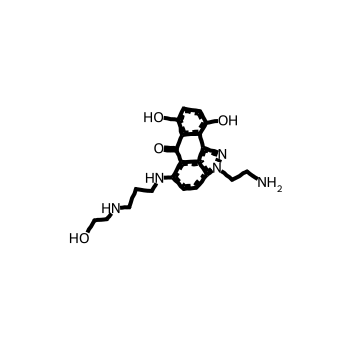 NCCn1nc2c3c(c(NCCCNCCO)ccc31)C(=O)c1c(O)ccc(O)c1-2